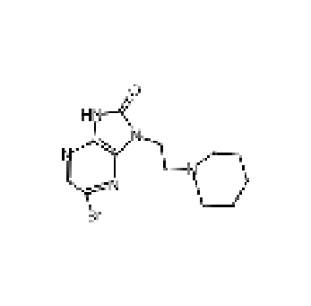 O=c1[nH]c2ncc(Br)nc2n1CCN1CCCCC1